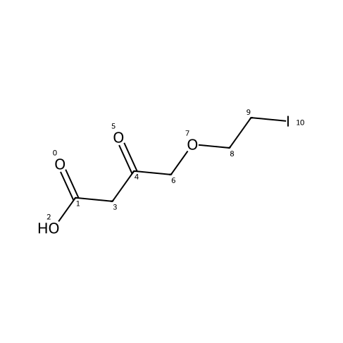 O=C(O)CC(=O)COCCI